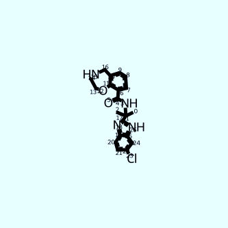 CC(C)(NC(=O)c1cccc2c1OCCNC2)c1nc2ccc(Cl)cc2[nH]1